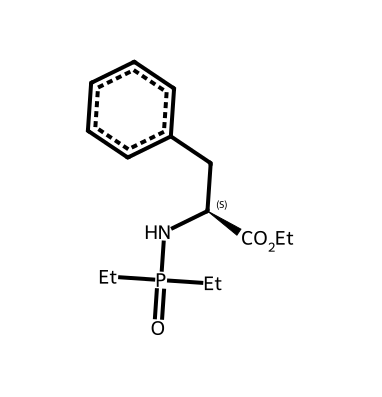 CCOC(=O)[C@H](Cc1ccccc1)NP(=O)(CC)CC